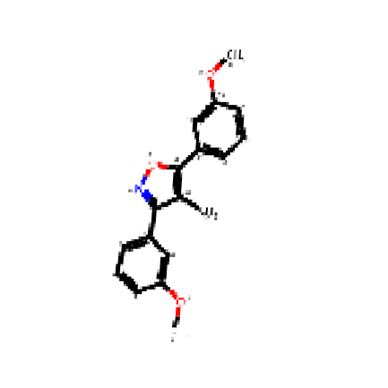 COc1cccc(-c2noc(-c3cccc(OC)c3)c2C)c1